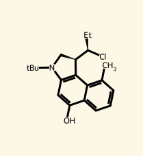 CC[C@@H](Cl)[C@@H]1CN(C(C)(C)C)c2cc(O)c3cccc(C)c3c21